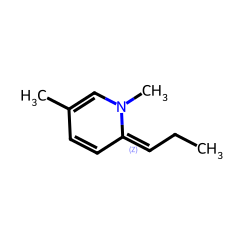 CC/C=C1/C=CC(C)=CN1C